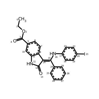 CCOC(=O)c1ccc2c(c1)NC(=O)C2=C(Nc1ccc(I)cc1)c1ccccc1